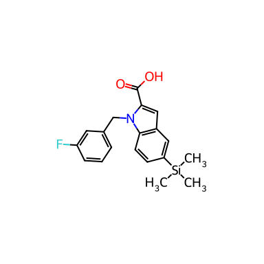 C[Si](C)(C)c1ccc2c(c1)cc(C(=O)O)n2Cc1cccc(F)c1